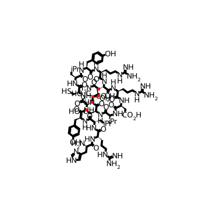 CC(C)C[C@H](NC(=O)[C@H](CS)NC(=O)[C@H](CCC(=O)O)NC(=O)[C@H](Cc1ccc(O)cc1)NC(=O)[C@H](CC(C)C)NC(=O)[C@H](CCCNC(=N)N)NC(=O)[C@@H](N)Cc1c[nH]cn1)C(=O)N[C@@H](Cc1ccc(O)cc1)C(=O)N[C@@H](CCCNC(=N)N)C(=O)N[C@@H](CC(N)=O)C(=O)N[C@@H](CCCNC(=N)N)C(=O)N[C@@H](CC(=O)O)C(=O)N[C@H](C(=O)N[C@@H](CC(=O)O)C(=O)N[C@H](C(=O)O)[C@@H](C)O)C(C)C